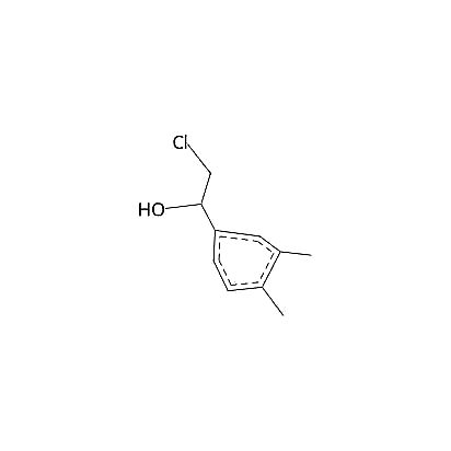 Cc1ccc(C(O)CCl)cc1C